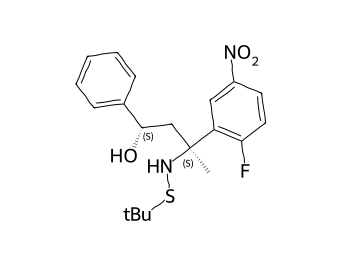 CC(C)(C)SN[C@@](C)(C[C@H](O)c1ccccc1)c1cc([N+](=O)[O-])ccc1F